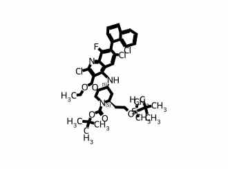 CCOC(=O)c1c(Cl)nc2c(F)c(-c3cccc4cccc(Cl)c34)c(Cl)cc2c1N[C@H]1CCN(C(=O)OC(C)(C)C)[C@H](CCO[Si](C)(C)C(C)(C)C)C1